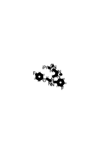 CC(C)c1nc(-c2ncn3c2Cn2c(COc4ccc(F)cc4)nnc2-c2cc(F)ccc2-3)no1